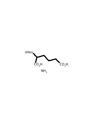 CCCCCCC(CCCC(=O)O)C(=O)O.N